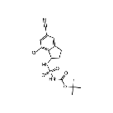 CC(C)(C)OC(=O)NS(=O)(=O)NC1CCc2cc(C#N)cc(Cl)c21